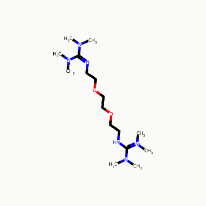 CN(C)C(=NCCOCCOCCNC(N(C)C)=[N+](C)C)N(C)C